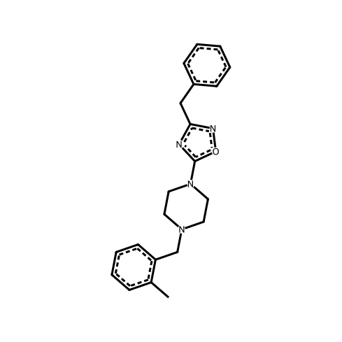 Cc1ccccc1CN1CCN(c2nc(Cc3ccccc3)no2)CC1